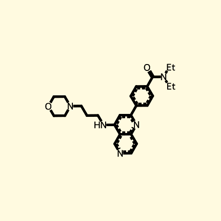 CCN(CC)C(=O)c1ccc(-c2cc(NCCCN3CCOCC3)c3cnccc3n2)cc1